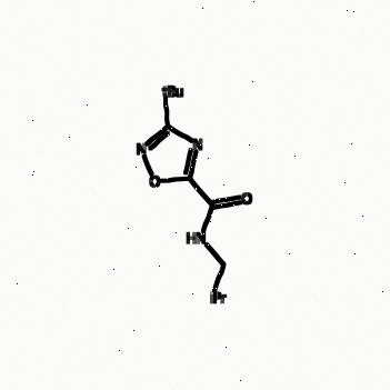 CC(C)CNC(=O)c1nc(C(C)(C)C)no1